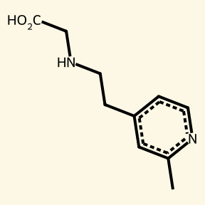 Cc1cc(CCNCC(=O)O)ccn1